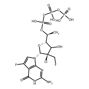 C[C@H](OP(=O)(O)OP(=O)(O)OP(=O)(O)O)[C@H]1O[C@@H](n2cc(F)c3c(=O)[nH]c(N)nc32)[C@@](Cl)(CF)C1O